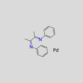 CC(=Nc1ccccc1)C(C)=Nc1ccccc1.[Pd]